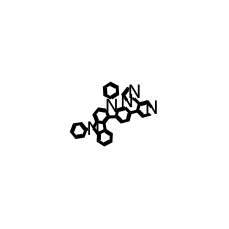 c1ccc(-n2c3ccccc3c3c4c5ccc6c7ccncc7c7nccn7c6c5n(-c5ccccc5)c4ccc32)cc1